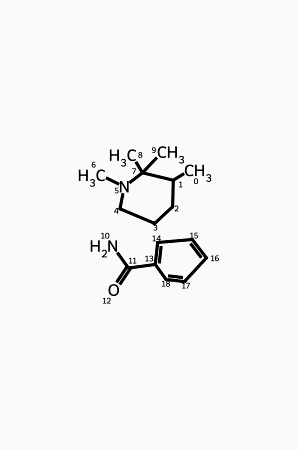 CC1CCCN(C)C1(C)C.NC(=O)c1ccccc1